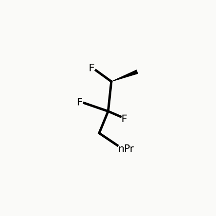 [CH2]CCCC(F)(F)[C@H](C)F